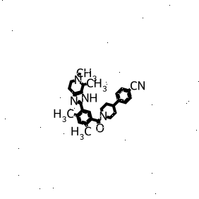 Cc1cc(C)c(-c2nc3c([nH]2)C(C)N(C)CC3)cc1C(=O)N1CCC(c2ccc(C#N)cc2)CC1